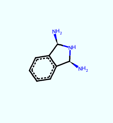 N[C@@H]1N[C@H](N)c2ccccc21